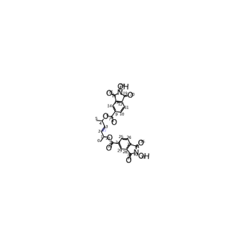 CC(/C=C/C(C)OC(=O)c1ccc2c(c1)C(=O)N(O)C2=O)OC(=O)c1ccc2c(c1)C(=O)N(O)C2=O